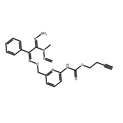 C#CCCOC(=O)Nc1cccc(CO/N=C(\C(=N\N)N(C)N=C)c2ccccc2)n1